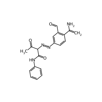 C=C(N)c1ccc(N=NC(C(C)=O)C(=O)Nc2ccccc2)cc1C=O